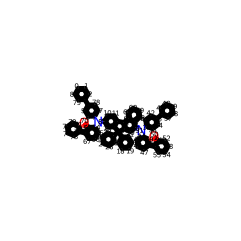 c1ccc(-c2ccc(N(c3ccc4c(c3)C(c3ccccc3)(c3ccccc3)c3cc(N(c5ccc(-c6ccccc6)cc5)c5cccc6c5oc5ccccc56)c5ccccc5c3-4)c3cccc4c3oc3ccccc34)cc2)cc1